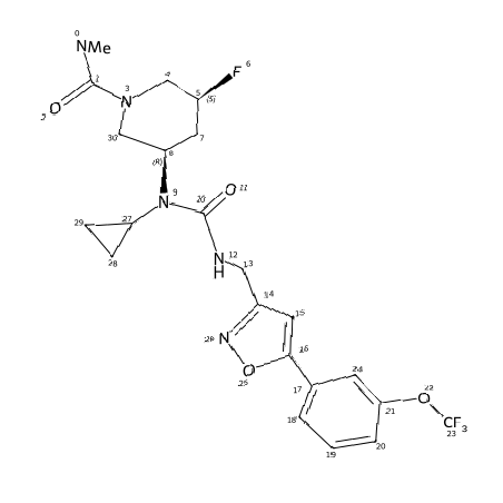 CNC(=O)N1C[C@@H](F)C[C@@H](N(C(=O)NCc2cc(-c3cccc(OC(F)(F)F)c3)on2)C2CC2)C1